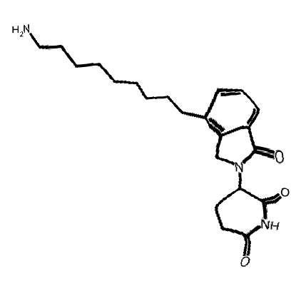 NCCCCCCCCCc1cccc2c1CN(C1CCC(=O)NC1=O)C2=O